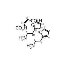 NCCc1ccco1.NCCc1ccco1.O=C(O)/C=C\C(=O)O